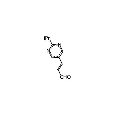 CC(C)c1ncc(C=CC=O)cn1